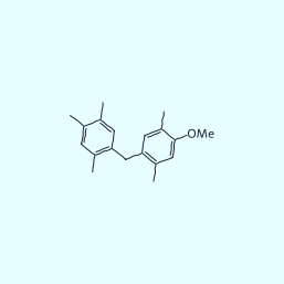 COc1cc(C)c(Cc2cc(C)c(C)cc2C)cc1C